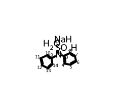 O.O=S(=O)(O)N(c1ccccc1)c1ccccc1.[NaH]